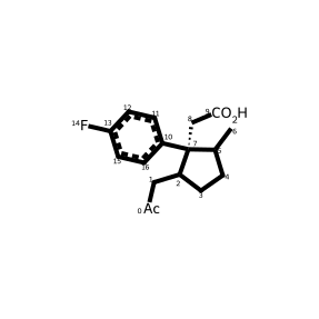 CC(=O)CC1CCC(C)[C@]1(CC(=O)O)c1ccc(F)cc1